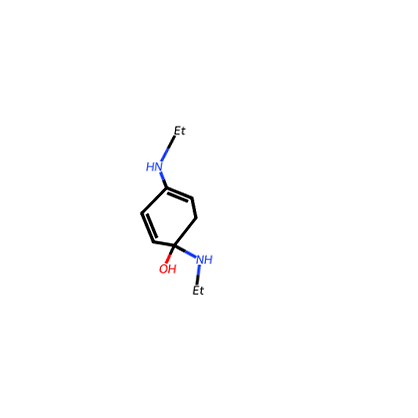 CCNC1=CCC(O)(NCC)C=C1